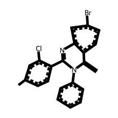 C=C1c2ccc(Br)cc2N=C(c2ccc(C)cc2Cl)N1c1ccccc1